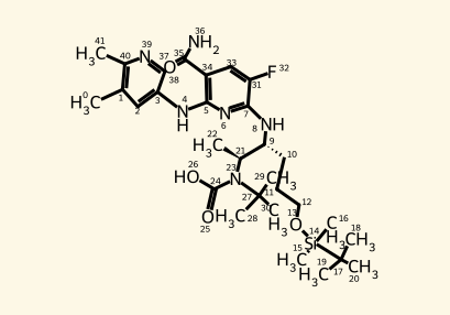 Cc1cc(Nc2nc(N[C@H](CCCO[Si](C)(C)C(C)(C)C)[C@H](C)N(C(=O)O)C(C)(C)C)c(F)cc2C(N)=O)cnc1C